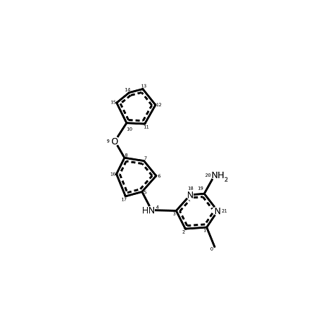 Cc1cc(Nc2ccc(Oc3ccccc3)cc2)nc(N)n1